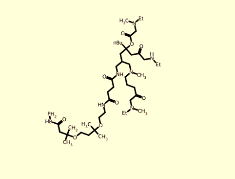 CCCCC(CC(=O)CNCC)(CC(CNC(=O)CCC(=O)NCCOC(C)(C)CCOC(C)(C)CC(=O)BP)CN(C)CCCC(=O)CN(C)CC)OC(=O)CN(C)CC